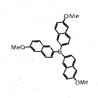 COc1ccc2c[c]([Bi]([c]3ccc4cc(OC)ccc4c3)[c]3ccc4cc(OC)ccc4c3)ccc2c1